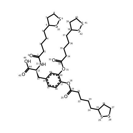 O=C(CCCCC1CCSS1)N[C@@H](Cc1ccc(OC(=O)CCCCC2CCSS2)c(OC(=O)CCCCC2CCSS2)c1)C(=O)O